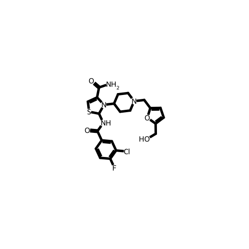 NC(=O)C1=CSC(NC(=O)c2ccc(F)c(Cl)c2)N1C1CCN(Cc2ccc(CO)o2)CC1